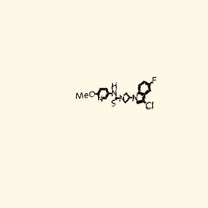 COc1ccc(NC(=S)N2CC(n3cc(Cl)c4cc(F)ccc43)C2)cn1